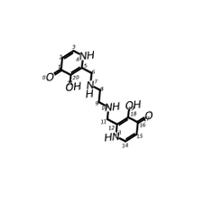 O=c1cc[nH]c(CNCCNCc2[nH]ccc(=O)c2O)c1O